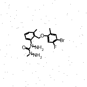 Cc1cc(Br)c(F)cc1OCc1c(C)cccc1N(N)C(=O)N(C)N